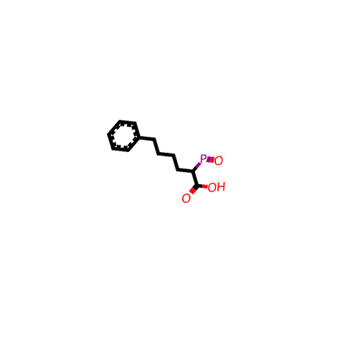 O=PC(CCCCc1ccccc1)C(=O)O